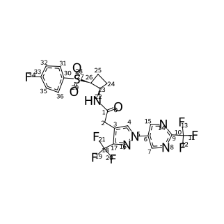 O=C(Cc1cn(-c2cnc(C(F)(F)F)nc2)nc1C(F)(F)F)N[C@@H]1CC[C@@H]1S(=O)(=O)c1ccc(F)cc1